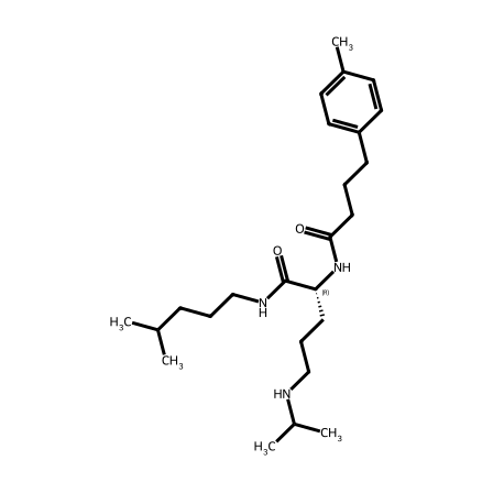 Cc1ccc(CCCC(=O)N[C@H](CCCNC(C)C)C(=O)NCCCC(C)C)cc1